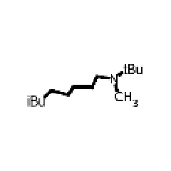 CCC(C)CCCCCN(C)C(C)(C)C